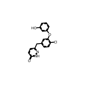 O=c1ccc(Cc2ccc(Cl)c(Oc3cccc(O)c3)c2)n[nH]1